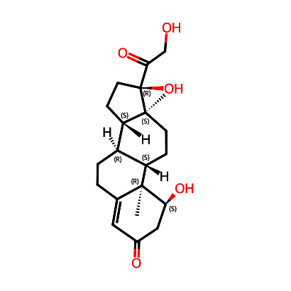 C[C@@]12C(=CC(=O)C[C@@H]1O)CC[C@@H]1[C@@H]2CC[C@@]2(C)[C@H]1CC[C@]2(O)C(=O)CO